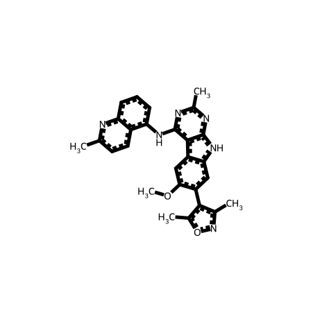 COc1cc2c(cc1-c1c(C)noc1C)[nH]c1nc(C)nc(Nc3cccc4nc(C)ccc34)c12